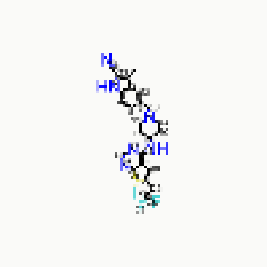 Cc1c(C#N)[nH]c2ccc(CN3CCC(Nc4ncnc5sc(CC(F)(F)F)cc45)CC3)cc12